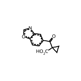 O=C(O)C1(C(=O)c2ccc3ocnc3c2)CC1